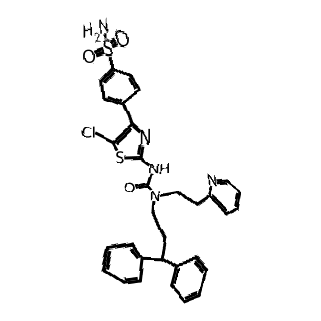 NS(=O)(=O)c1ccc(-c2nc(NC(=O)N(CCc3ccccn3)CCC(c3ccccc3)c3ccccc3)sc2Cl)cc1